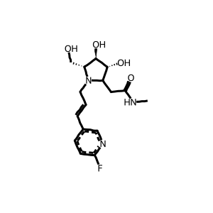 CNC(=O)CC1[C@@H](O)[C@H](O)[C@@H](CO)N1C/C=C/c1ccc(F)nc1